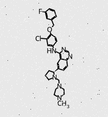 CN1CCN(CN2CCC[C@H]2c2ccc3ncnc(Nc4ccc(OCc5cccc(F)c5)c(Cl)c4)c3c2)CC1